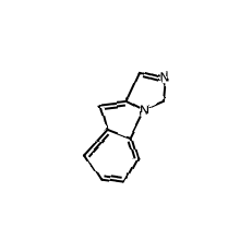 C1=NCn2c1cc1ccccc12